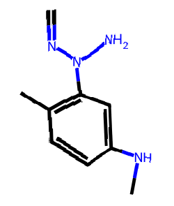 C=NN(N)c1cc(NC)ccc1C